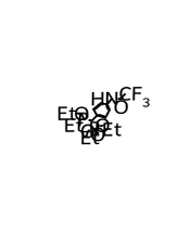 CCOP(CC)C(c1ccc(NC(=O)C(F)(F)F)cc1)P(=O)(OCC)OCC